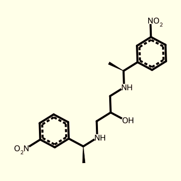 C[C@H](NCC(O)CN[C@@H](C)c1cccc([N+](=O)[O-])c1)c1cccc([N+](=O)[O-])c1